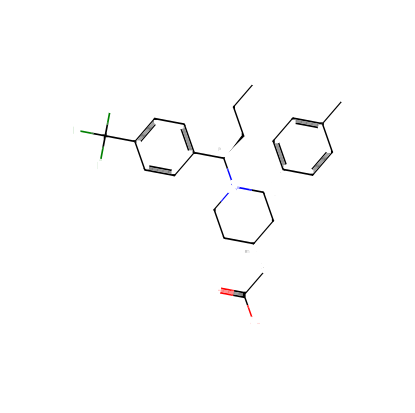 CCC[C@H](c1ccc(C(F)(F)F)cc1)N1CC[C@@H](CC(=O)O)C[C@H]1c1ccc(C)cc1